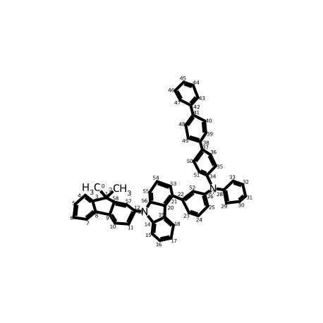 CC1(C)c2ccccc2-c2ccc(-n3c4ccccc4c4c(-c5cccc(N(c6ccccc6)c6ccc(-c7ccc(-c8ccccc8)cc7)cc6)c5)cccc43)cc21